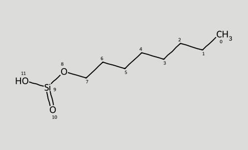 CCCCCCCCO[Si](=O)O